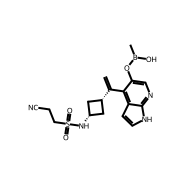 C=C(c1c(OB(C)O)cnc2[nH]ccc12)[C@H]1C[C@@H](NS(=O)(=O)CCC#N)C1